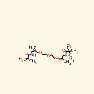 C=C(C)C(=O)NCC(C)COCCOCCOC[C@H](C)CNC(=O)C(C)(C)C